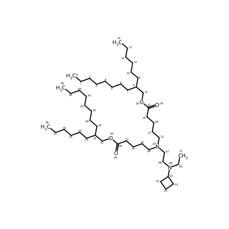 CCCCCCCCC(CCCCCC)COC(=O)CCCCN(CCCCC(=O)OCC(CCCCCC)CCCCCCCC)CCN(CC)C1CCC1